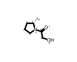 C[C@H]1CCCN1C(=O)CO